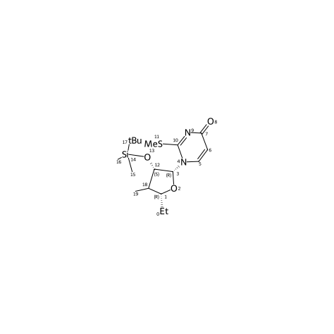 CC[C@H]1O[C@@H](n2ccc(=O)nc2SC)[C@@H](O[Si](C)(C)C(C)(C)C)C1C